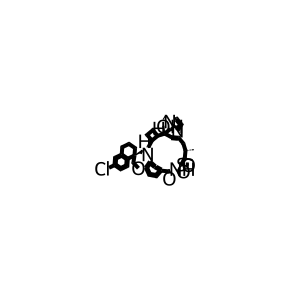 C[C@@H]1[C@@H](C)C/C=C/[C@@](O)(c2nccn2C)[C@@H]2CC[C@H]2CN2C[C@@]3(CCCc4cc(Cl)ccc43)COc3ccc(cc32)C(=O)NS1(=O)=O